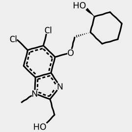 Cn1c(CO)nc2c(OC[C@H]3CCCC[C@@H]3O)c(Cl)c(Cl)cc21